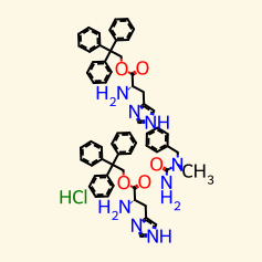 CN(Cc1ccccc1)C(N)=O.Cl.N[C@@H](Cc1c[nH]cn1)C(=O)OCC(c1ccccc1)(c1ccccc1)c1ccccc1.N[C@@H](Cc1c[nH]cn1)C(=O)OCC(c1ccccc1)(c1ccccc1)c1ccccc1